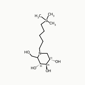 C[Si](C)(C)CCCCCN1C[C@H](O)[C@@H](O)[C@H](O)C1CO